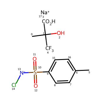 CC(O)(C(=O)O)C(F)(F)F.Cc1ccc(S(=O)(=O)[N-]Cl)cc1.[Na+]